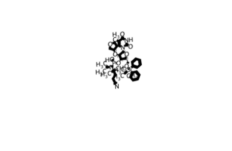 Cc1cn([C@@H]2O[C@H](CO[Si](c3ccccc3)(c3ccccc3)C(C)(C)C)[C@@H](OP(O)N(C(C)C)C(C)(C)CCC#N)[C@H]2O[C@@H]2CCOC2)c(=O)[nH]c1=O